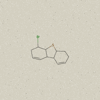 BrC1CC=CC2C3C=CCCC3SC12